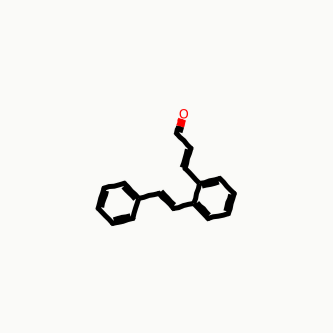 O=CC=Cc1ccccc1C=Cc1ccccc1